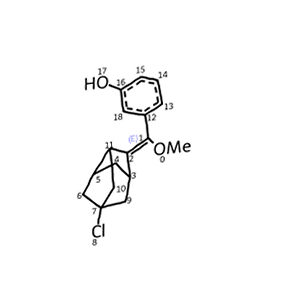 CO/C(=C1\C2CC3CC(Cl)(C2)CC13)c1cccc(O)c1